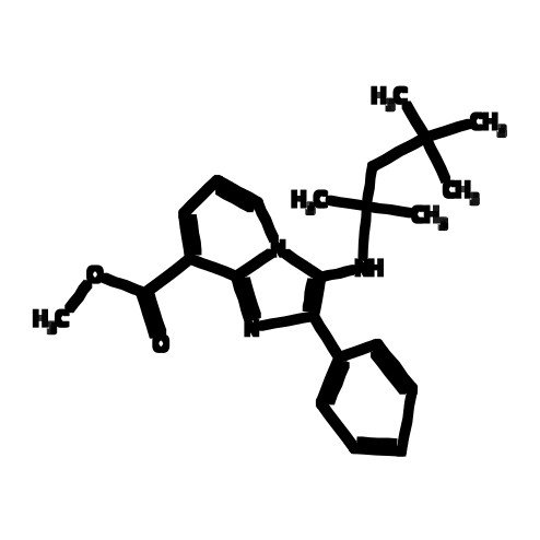 COC(=O)c1cccn2c(NC(C)(C)CC(C)(C)C)c(-c3ccccc3)nc12